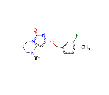 Cc1ccc(COc2cc3n(c(=O)n2)CCCN3C(C)C)cc1F